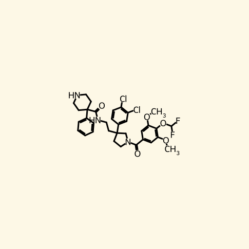 COc1cc(C(=O)N2CCC(CCNC(=O)C3(c4ccccc4)CCNCC3)(c3ccc(Cl)c(Cl)c3)C2)cc(OC)c1OC(F)F